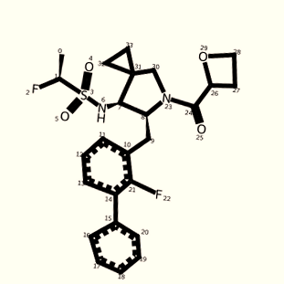 C[C@H](F)S(=O)(=O)N[C@@H]1[C@H](Cc2cccc(-c3ccccc3)c2F)N(C(=O)C2CCO2)CC12CC2